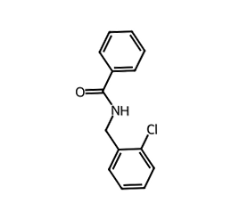 O=C(NCc1ccccc1Cl)c1ccccc1